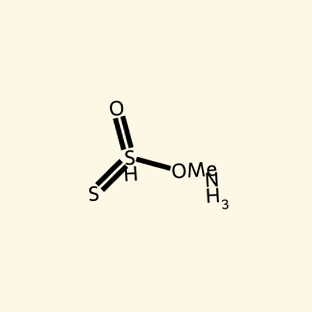 CO[SH](=O)=S.N